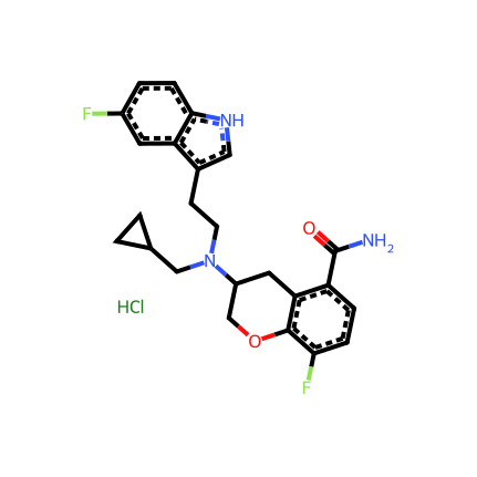 Cl.NC(=O)c1ccc(F)c2c1CC(N(CCc1c[nH]c3ccc(F)cc13)CC1CC1)CO2